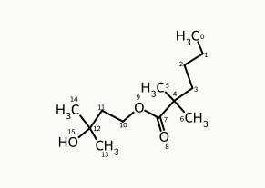 CCCCC(C)(C)C(=O)OCCC(C)(C)O